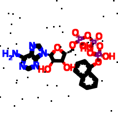 Nc1ncnc2c1ncn2[C@@H]1O[C@H](COP(=O)(O)OP(=O)(O)OP(=O)(O)Oc2cccc3ccccc23)[C@@H](O)[C@H]1O